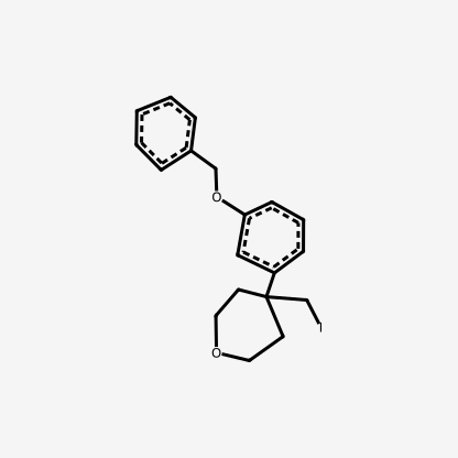 ICC1(c2cccc(OCc3ccccc3)c2)CCOCC1